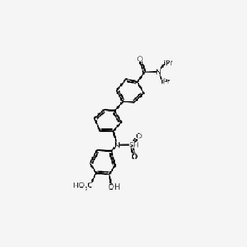 CC(C)N(C(=O)c1ccc(-c2cccc(N(c3ccc(C(=O)O)c(O)c3)[SH](=O)=O)c2)cc1)C(C)C